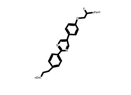 CCCCCCCCCCCCc1ccc(-c2ncc(-c3ccc(OCC(F)CCCCC)cc3)cn2)cc1